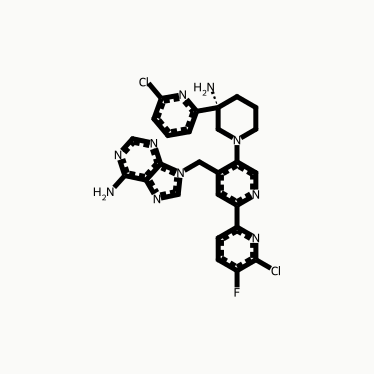 Nc1ncnc2c1ncn2Cc1cc(-c2ccc(F)c(Cl)n2)ncc1N1CCC[C@](N)(c2cccc(Cl)n2)C1